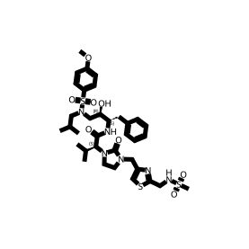 COc1ccc(S(=O)(=O)N(CC(C)C)C[C@@H](O)[C@H](Cc2ccccc2)NC(=O)[C@H](C(C)C)N2CCN(Cc3csc(CNS(C)(=O)=O)n3)C2=O)cc1